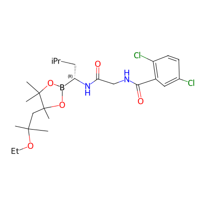 CCOC(C)(C)CC1(C)OB([C@H](CC(C)C)NC(=O)CNC(=O)c2cc(Cl)ccc2Cl)OC1(C)C